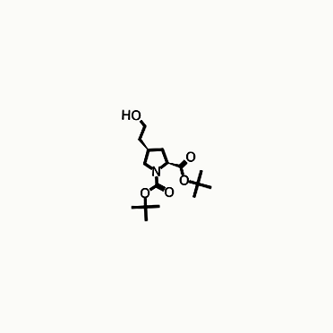 CC(C)(C)OC(=O)[C@@H]1C[C@H](CCO)CN1C(=O)OC(C)(C)C